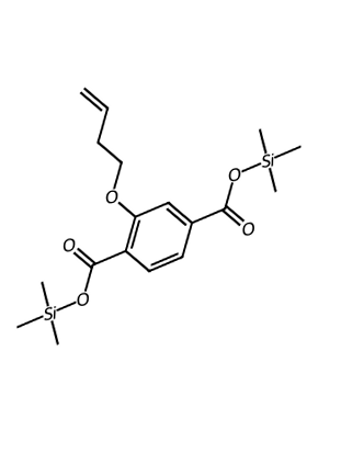 C=CCCOc1cc(C(=O)O[Si](C)(C)C)ccc1C(=O)O[Si](C)(C)C